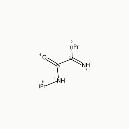 CCCC(=N)C(=O)NC(C)C